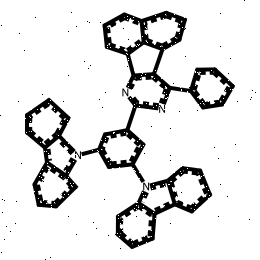 c1ccc(-c2nc(-c3cc(-n4c5ccccc5c5ccccc54)cc(-n4c5ccccc5c5ccccc54)c3)nc3c2-c2cccc4cccc-3c24)cc1